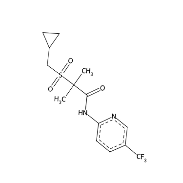 CC(C)(C(=O)Nc1ccc(C(F)(F)F)cn1)S(=O)(=O)CC1CC1